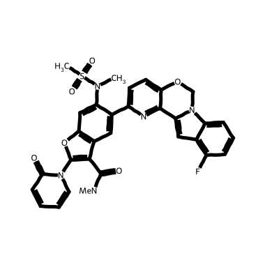 CNC(=O)c1c(-n2ccccc2=O)oc2cc(N(C)S(C)(=O)=O)c(-c3ccc4c(n3)-c3cc5c(F)cccc5n3CO4)cc12